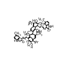 Cc1ccc2c(c1)/C(=N/N=C/c1c(O)c(O)c(C(C)C)c3cc(C)c(-c4c(C)cc5c(C(C)C)c(O)c(O)c(/C=N/N=C6/C(=O)Nc7ccc(C)cc76)c5c4O)c(O)c13)C(=O)N2